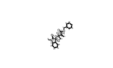 C=C(C(=O)OCc1ccccc1)[C@]1(C(=O)O)CO[C@@]2(O1)C(=O)N(C)c1ccccc12